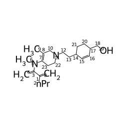 C=C(CCC)C(=C)N(C)C1=C(C)CN(CCC2C=CC(CO)CC2)CC1